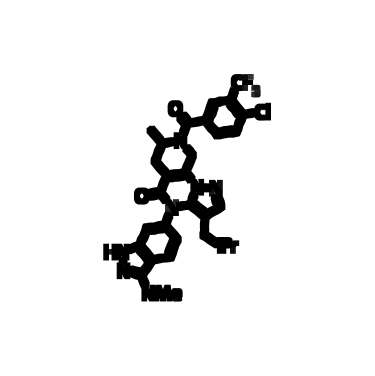 CNc1n[nH]c2cc(-n3c(=O)c4c(n5ncc(CC(C)C)c35)CN(C(=O)c3ccc(Cl)c(C(F)(F)F)c3)C(C)C4)ccc12